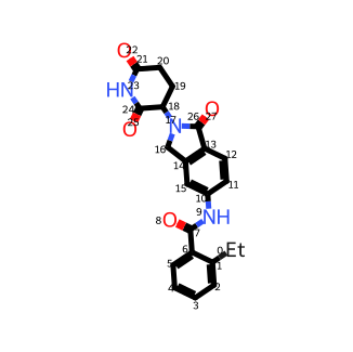 CCc1ccccc1C(=O)Nc1ccc2c(c1)CN(C1CCC(=O)NC1=O)C2=O